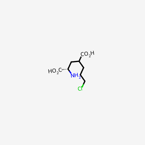 N[C@@H](CC(CCCCl)C(=O)O)C(=O)O